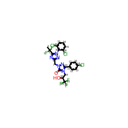 CC(F)(F)c1nc(Cn2nc(-c3ccc(Cl)cc3)n(CC(O)C(F)(F)F)c2=O)nn1-c1c(Cl)cccc1Cl